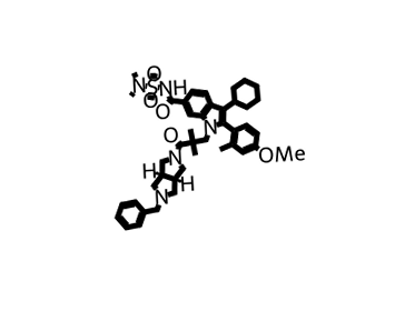 COc1ccc(-c2c(C3CCCCC3)c3ccc(C(=O)NS(=O)(=O)N(C)C)cc3n2CC(C)(C)C(=O)N2C[C@H]3CN(Cc4ccccc4)C[C@H]3C2)c(C)c1